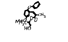 COc1ccc(Oc2ccccc2)c(C=C(C)C(=O)OC(C)CO)c1